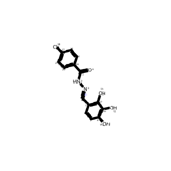 O=C(N/N=C/c1ccc(O)c(O)c1O)c1ccc(Cl)cc1